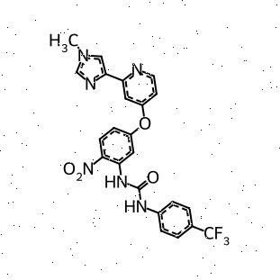 Cn1cnc(-c2cc(Oc3ccc([N+](=O)[O-])c(NC(=O)Nc4ccc(C(F)(F)F)cc4)c3)ccn2)c1